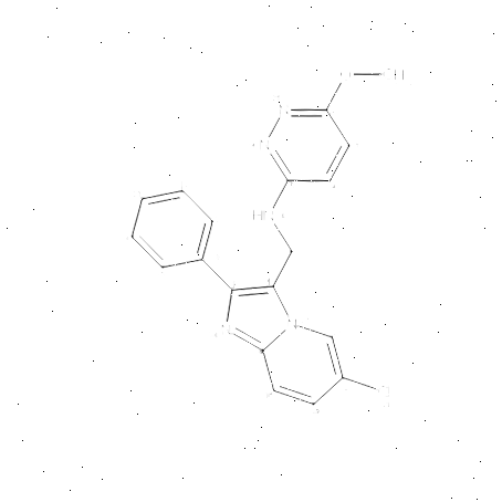 COc1ccc(NCc2c(-c3ccccc3)nc3ccc(Cl)cn23)nn1